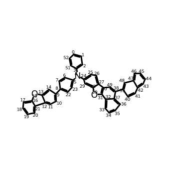 c1ccc(N(c2ccc(-c3ccc4c(c3)oc3ccccc34)cc2)c2ccc3c(c2)oc2c4ccccc4c(-c4ccc5ccccc5c4)cc32)cc1